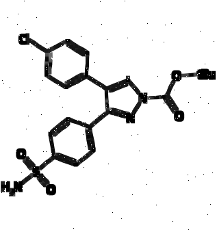 CC(C)(C)OC(=O)n1[c]c(-c2ccc(Cl)cc2)c(-c2ccc(S(N)(=O)=O)cc2)n1